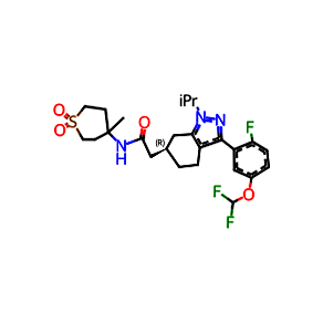 CC(C)n1nc(-c2cc(OC(F)F)ccc2F)c2c1C[C@H](CC(=O)NC1(C)CCS(=O)(=O)CC1)CC2